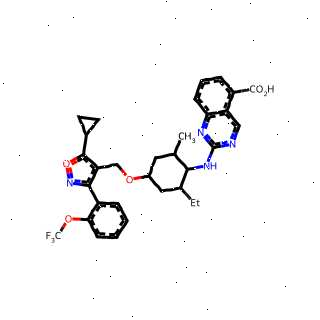 CCC1CC(OCc2c(-c3ccccc3OC(F)(F)F)noc2C2CC2)CC(C)C1Nc1ncc2c(C(=O)O)cccc2n1